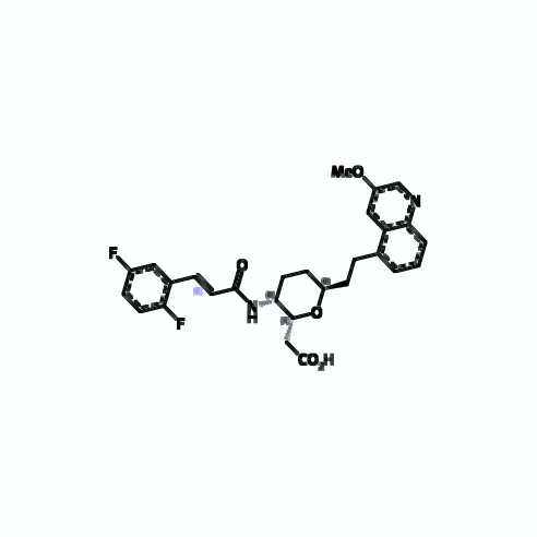 COc1cnc2cccc(CC[C@@H]3CC[C@@H](NC(=O)/C=C/c4cc(F)ccc4F)[C@@H](CC(=O)O)O3)c2c1